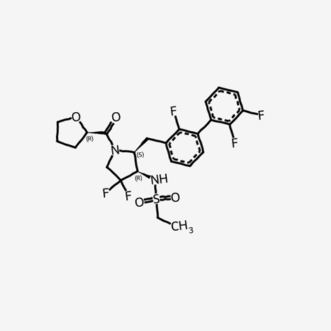 CCS(=O)(=O)N[C@@H]1[C@H](Cc2cccc(-c3cccc(F)c3F)c2F)N(C(=O)[C@H]2CCCO2)CC1(F)F